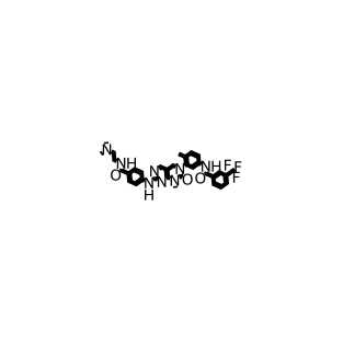 Cc1ccc(NC(=O)c2cccc(C(F)(F)F)c2)cc1N1Cc2cnc(Nc3ccc(C(=O)NCCN(C)C)cc3)nc2N(C)C1=O